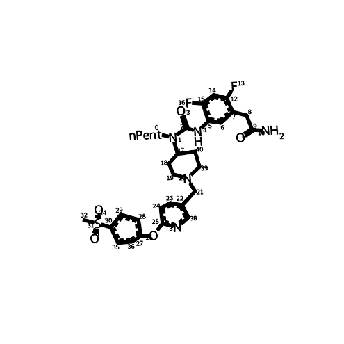 CCCCCN(C(=O)Nc1cc(CC(N)=O)c(F)cc1F)C1CCN(Cc2ccc(Oc3ccc(S(C)(=O)=O)cc3)nc2)CC1